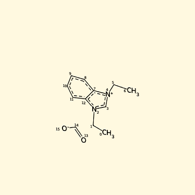 CCn1c[n+](CC)c2ccccc21.O=C[O-]